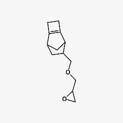 C1CC2=C1C1CC(COCC3CO3)C2C1